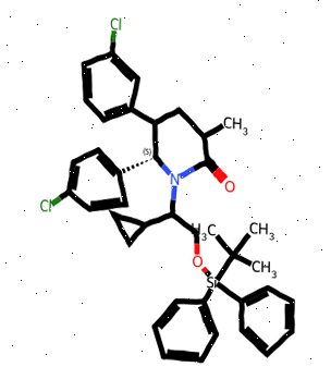 CC1CC(c2cccc(Cl)c2)[C@@H](c2ccc(Cl)cc2)N(C(CO[Si](c2ccccc2)(c2ccccc2)C(C)(C)C)C2CC2)C1=O